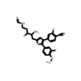 COc1ccc(-c2sc(CC(N)C(F)CCNC=O)cc2-c2ccc(C#N)c(F)c2)cc1F